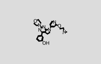 CN(C)CCOc1cc(N2CCc3c(-c4cccc(O)c4)nc(N4CCOCC4)nc32)ccn1